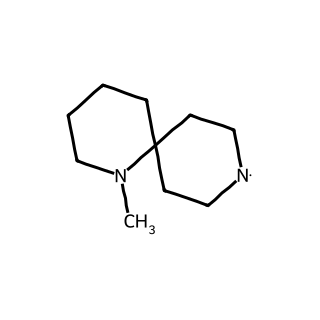 CN1CCCCC12CC[N]CC2